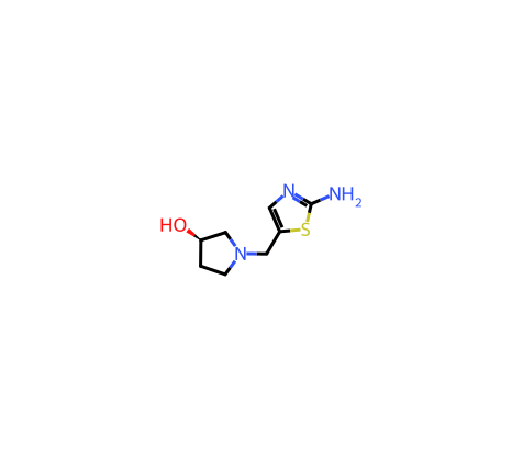 Nc1ncc(CN2CC[C@@H](O)C2)s1